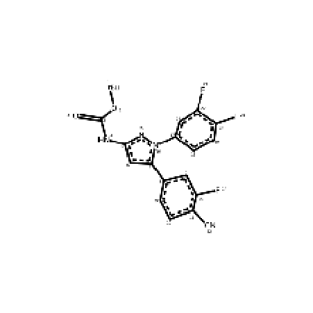 CC(C)(C)OC(=O)Nc1cc(-c2ccc(C#N)c(F)c2)n(-c2ccc(I)c(F)c2)n1